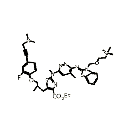 CCOC(=O)c1nc(N(C)c2cc(C)c(/N=c3\sc4ccccc4n3COCC[Si](C)(C)C)nn2)sc1CC(C)COc1ccc(C#CCN(C)C)cc1F